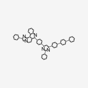 c1ccc(-c2ccc(-c3ccc(-c4cc(-c5ccc(-c6nc7ccccc7c7c6ccn6cc(-c8ccccc8)nc76)cc5)nc(-c5ccccc5)n4)cc3)cc2)cc1